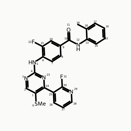 CSc1cnc(Nc2ccc(C(=O)Nc3ccccc3C)cc2F)nc1-c1cccnc1F